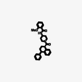 COc1ccccc1C(=O)NC1CCN(C(=O)[C@@H]2CCC(c3ccccc3)c3ccccc32)CC1